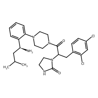 CC(C)C[C@H](N)c1ccccc1N1CCN(C(=O)C(Cc2ccc(Cl)cc2Cl)N2CCNC2=O)CC1